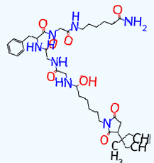 CCC(C)(CC)C1CC(=O)N(CCCCCC(O)NCC(=O)NCC(=O)NC(Cc2ccccc2)C(=O)NCC(=O)NCCCCCC(N)=O)C1=O